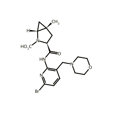 C[C@@]12C[C@@H](C(=O)Nc3nc(Br)ccc3CN3CCOCC3)N(C(=O)O)[C@@H]1C2